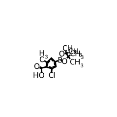 Cc1cc(B2OC(C)(C)C(C)(C)O2)cc(Cl)c1C(=O)O